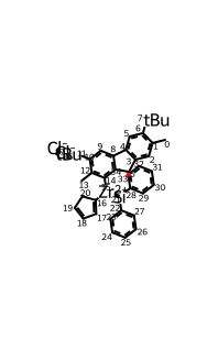 Cc1cc2c(cc1C(C)(C)C)-c1cc(C(C)(C)C)c(C)[c]([Zr+2]([C]3=CC=CC3)=[Si](c3ccccc3)c3ccccc3)c1C2.[Cl-].[Cl-]